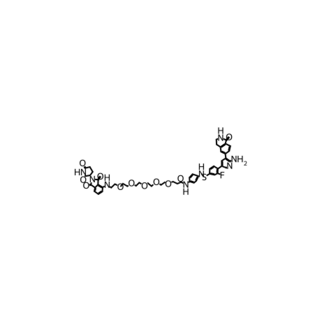 Nc1ncc(-c2ccc(SNc3ccc(NC(=O)CCOCCOCCOCCOCCOCCNc4cccc5c4C(=O)N(C4CCC(=O)NC4=O)C5=O)cc3)cc2F)cc1-c1ccc2c(c1)CCNC2=O